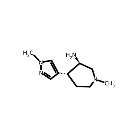 CN1CC[C@H](c2cnn(C)c2)[C@@H](N)C1